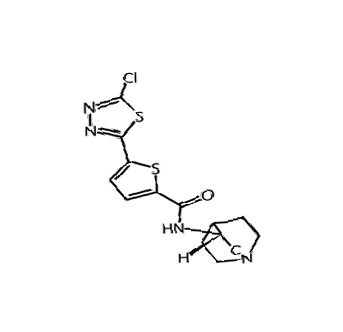 O=C(N[C@H]1CN2CCC1CC2)c1ccc(-c2nnc(Cl)s2)s1